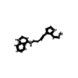 O/N=C\c1occc1C#CCCNc1ccnc2ccccc12